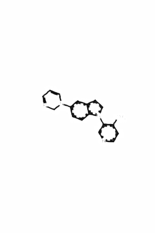 Cc1ccncc1-n1ccc2cc(N3C=CC=NC3)ccc21